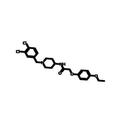 CCOc1ccc(OCC(=O)NC2CCN(Cc3ccc(Cl)c(Cl)c3)CC2)cc1